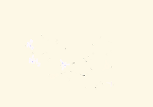 Cc1cccc(C#N)c1Oc1cc([C@H]2CC(=O)N(c3ccc4ccnc(N)c4c3)C2)ccc1I